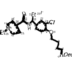 CCCCCCCCCCCCCCOc1ccc(C(CC)NC(=O)c2cc[n+](CC)cc2)cc1Cl.[I-]